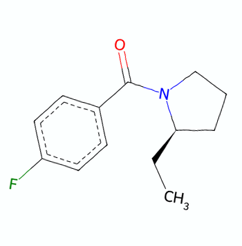 CC[C@@H]1CCCN1C(=O)c1ccc(F)cc1